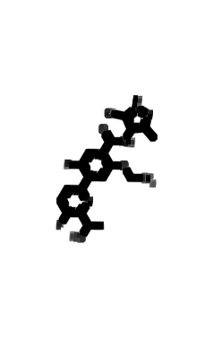 Cc1n[nH]c(Cl)c1NC(=O)c1cc(F)c(-c2ccc(F)c(C(C)O)n2)cc1OCC(F)(F)F